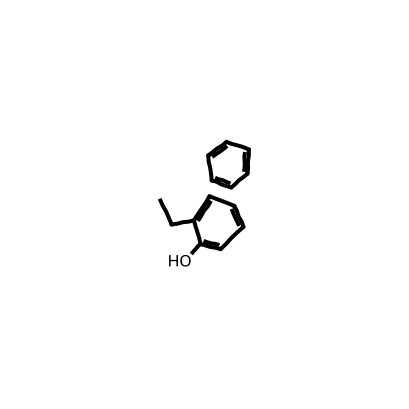 CCc1ccccc1O.c1ccccc1